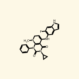 CN1CC=C(Nc2cc3cc[nH]c3cc2F)c2c1n(-c1ccccc1)c(=O)n(C1CC1)c2=O